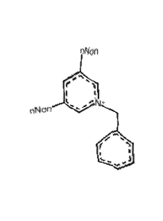 CCCCCCCCCc1cc(CCCCCCCCC)c[n+](Cc2ccccc2)c1